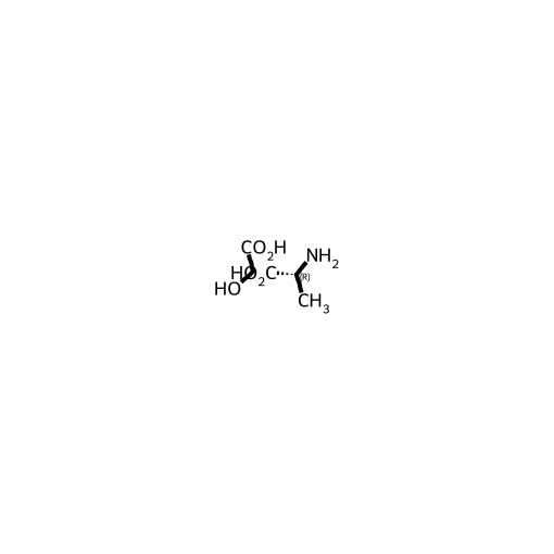 C[C@@H](N)C(=O)O.O=C(O)CO